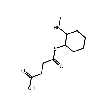 CNC1CCCCC1SC(=O)CCC(=O)O